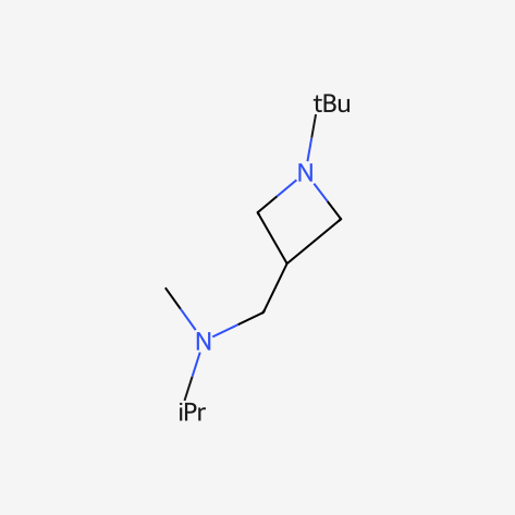 CC(C)N(C)CC1CN(C(C)(C)C)C1